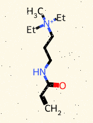 C=CC(=O)NCCC[N+](C)(CC)CC